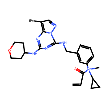 C=CC(=O)[N+](C)(c1cccc(CNc2nc(NC3CCOCC3)nc3c(C(C)C)cnn23)c1)C1CC1